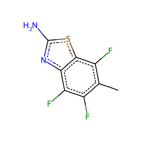 Cc1c(F)c(F)c2nc(N)sc2c1F